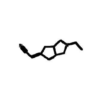 CCN1CC2CC(=CC#N)CC2C1